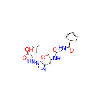 CC(C)C[C@H](Nn1cnc(C[C@@H](C=O)NC(=O)CNC(=O)c2ccccc2)c1)C(=O)O